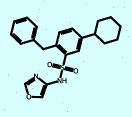 O=S(=O)(Nc1cocn1)c1cc(C2CCCCC2)ccc1Cc1ccccc1